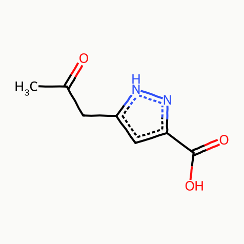 CC(=O)Cc1cc(C(=O)O)n[nH]1